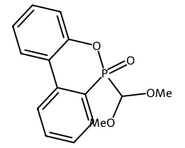 COC(OC)P1(=O)Oc2ccccc2-c2ccccc21